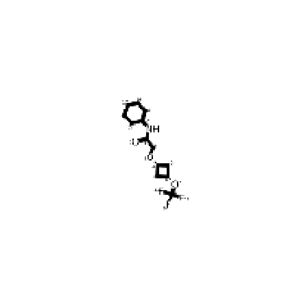 O=C(CO[C@H]1C[C@@H](OC(F)(F)F)C1)NC1CCCCC1